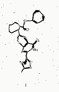 Cc1noc(-c2nc3sc(C4CCCN4C(=O)Oc4ccccc4)nc3c(=O)[nH]2)n1